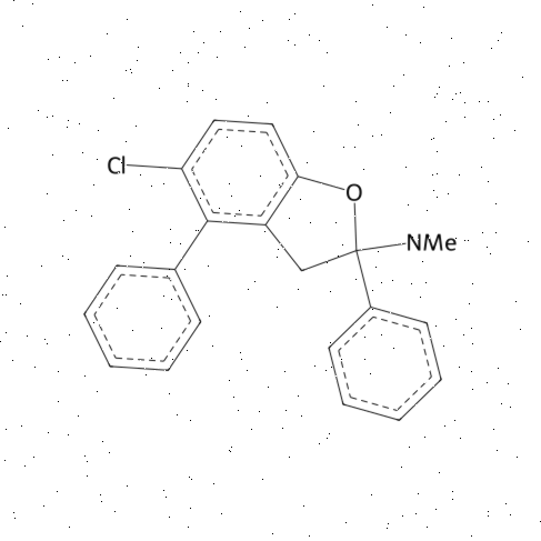 CNC1(c2ccccc2)Cc2c(ccc(Cl)c2-c2ccccc2)O1